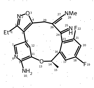 CCc1noc2c1-c1cnc(N)c(c1)O[C@H](C)c1cc(F)cc(F)c1C(=N)/C(=C\NC)C2